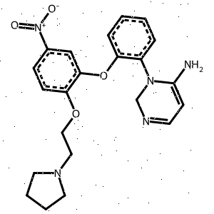 NC1=CC=NCN1c1ccccc1Oc1cc([N+](=O)[O-])ccc1OCCN1CCCC1